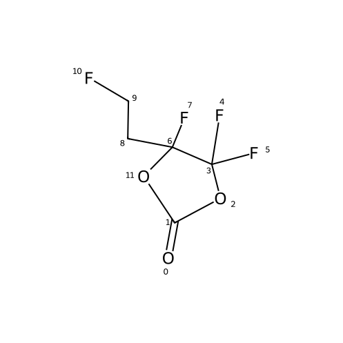 O=C1OC(F)(F)C(F)(CCF)O1